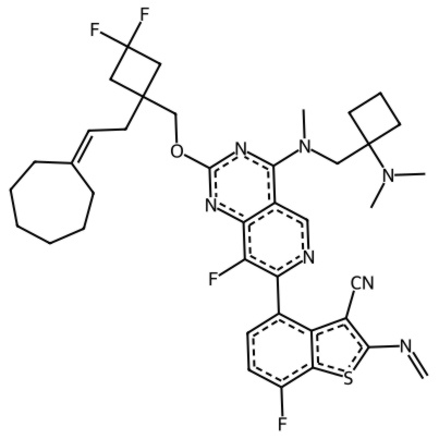 C=Nc1sc2c(F)ccc(-c3ncc4c(N(C)CC5(N(C)C)CCC5)nc(OCC5(CC=C6CCCCCC6)CC(F)(F)C5)nc4c3F)c2c1C#N